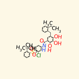 CC(C)c1ccccc1Cc1cc(C(=O)Nc2ccc(S(=O)(=O)c3ccccc3C(C)(C)C)c(Cl)c2)c(O)c(O)c1O